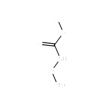 CCOC(=O)NOC(C)(C)C